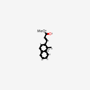 COC(=O)/C=C/c1ccc2ccccc2c1C